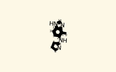 Cc1c(NC2=NCCC2)ccc2[nH]cnc12